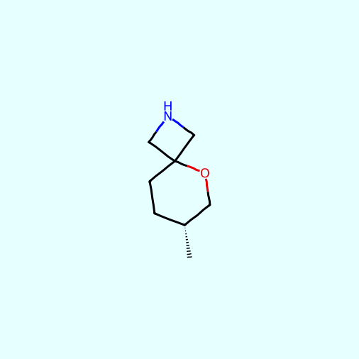 C[C@@H]1CCC2(CNC2)OC1